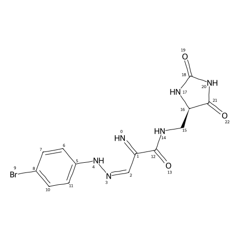 N=C(/C=N\Nc1ccc(Br)cc1)C(=O)NC[C@H]1NC(=O)NC1=O